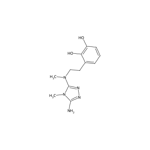 CN(CCc1cccc(O)c1O)c1nnc(N)n1C